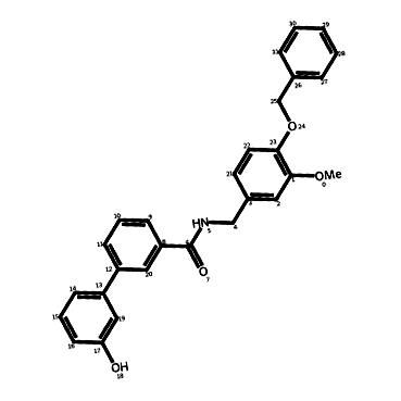 COc1cc(CNC(=O)c2cccc(-c3cccc(O)c3)c2)ccc1OCc1ccccc1